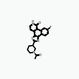 CC(=O)N1CCCC(c2nc3c4ccc(F)cc4c4c(=O)[nH]ccc4c3s2)C1